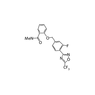 CNC(=O)c1ccccc1OCc1ccc(-c2noc(C(F)(F)F)n2)c(F)c1